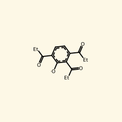 CCC(=O)c1ccc(C(=O)CC)c(C(=O)CC)c1[O]